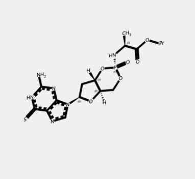 CC(C)OC(=O)[C@H](C)N[P@]1(=O)OC[C@H]2O[C@@H](n3cnc4c(=S)[nH]c(N)nc43)C[C@@H]2O1